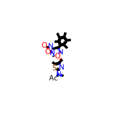 CC(=O)N(C)c1nc(CON=C(c2c(C)c(C)c(C)c(C)c2C)c2nc(=O)on2C)c(C)s1